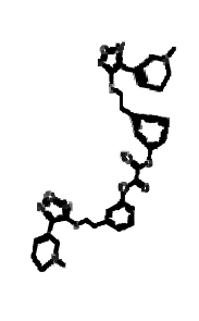 CN1CCC=C(c2nonc2SCCc2cccc(OC(=O)C(=O)Oc3cccc(CCSc4nonc4C4=CCCN(C)C4)c3)c2)C1